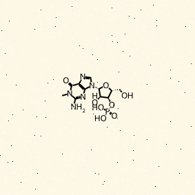 Cn1c(N)nc2c(ncn2[C@@H]2O[C@H](CO)[C@@H](OP(=O)(O)O)[C@H]2O)c1=O